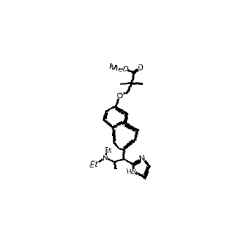 CCN(CC)C(C)C(c1ccc2cc(OCC(C)(C)C(=O)OC)ccc2c1)c1ncc[nH]1